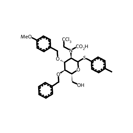 COc1ccc(CO[C@H]2[C@H](OCc3ccccc3)[C@@H](CO)OC(Sc3ccc(C)cc3)[C@@H]2N(CC(Cl)(Cl)Cl)C(=O)O)cc1